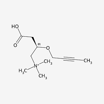 CC#CCO[C@H](CC(=O)O)C[N+](C)(C)C